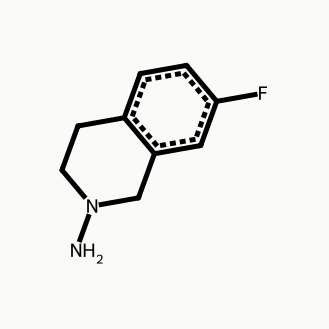 NN1CCc2ccc(F)cc2C1